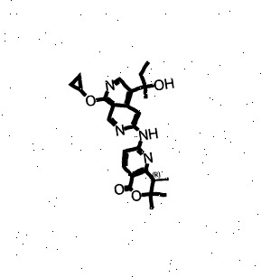 CCC(C)(O)c1cnc(OC2CC2)c2cnc(Nc3ccc4c(n3)[C@@H](C)C(C)(C)OC4=O)cc12